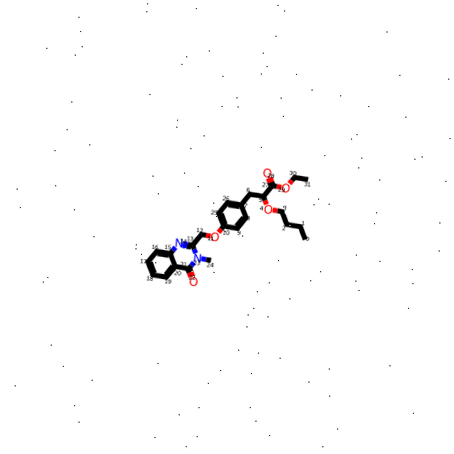 CCCCOC(Cc1ccc(OCc2nc3ccccc3c(=O)n2C)cc1)C(=O)OCC